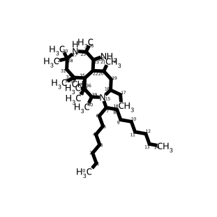 CCCCCCCC(CCCCCCC)N1C(CC)CC(C)C2C(N)C(C)NC(C)(C)CC(C)(C)C2C(C)(C)C1C